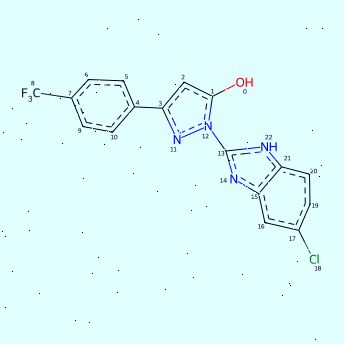 Oc1cc(-c2ccc(C(F)(F)F)cc2)nn1-c1nc2cc(Cl)ccc2[nH]1